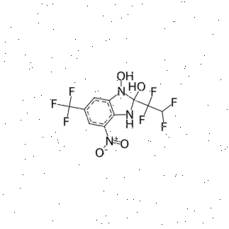 O=[N+]([O-])c1cc(C(F)(F)F)cc2c1NC(O)(C(F)(F)C(F)F)N2O